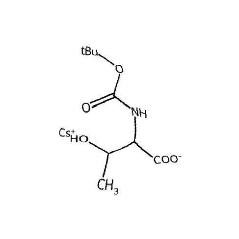 CC(O)C(NC(=O)OC(C)(C)C)C(=O)[O-].[Cs+]